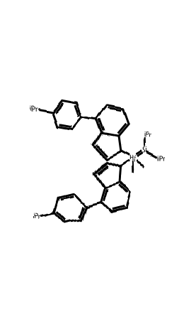 CC(C)c1ccc(-c2cccc3c2C=C[CH]3[Hf]([CH3])([CH3])([CH]2C=Cc3c(-c4ccc(C(C)C)cc4)cccc32)=[Si](C(C)C)C(C)C)cc1